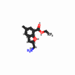 Cc1cc(C(=O)OCC(F)(F)F)c2oc(CN)cc2c1